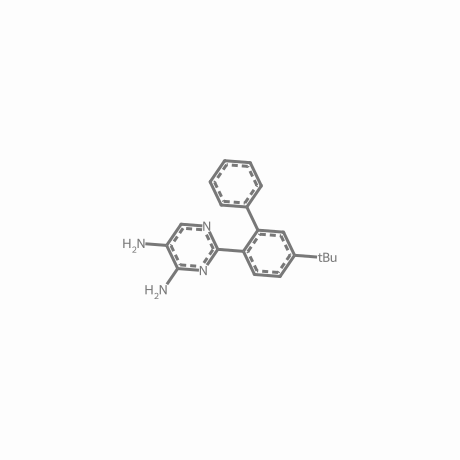 CC(C)(C)c1ccc(-c2ncc(N)c(N)n2)c(-c2ccccc2)c1